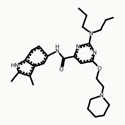 CCCN(CCC)c1nc(OCCN2CCCCC2)cc(C(=O)Nc2ccc3[nH]c(C)c(C)c3c2)n1